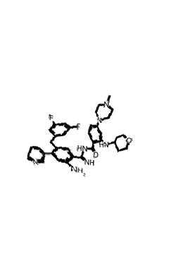 CN1CCN(c2ccc(C(=O)NC(=N)c3cc(Cc4cc(F)cc(F)c4)c(-c4cccnc4)cc3N)c(NC3CCOCC3)c2)CC1